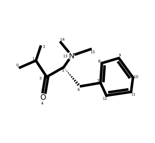 CC(C)C(=O)[C@@H](Cc1ccccc1)N(C)C